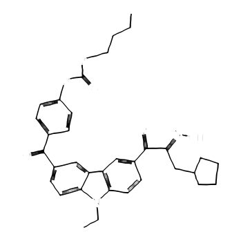 CCCCOC(=O)Oc1ccc(C(=O)c2ccc3c(c2)c2cc(C(=O)/C(CC4CCCC4)=N/O)ccc2n3CC)cc1